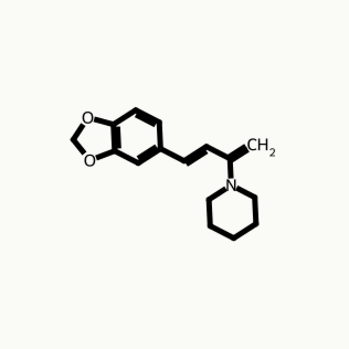 C=C(/C=C/c1ccc2c(c1)OCO2)N1CCCCC1